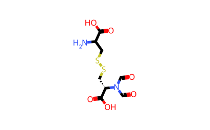 NC(CSSC[C@@H](C(=O)O)N(C=O)C=O)C(=O)O